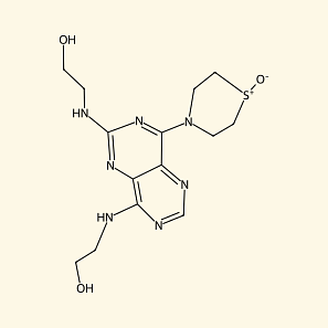 [O-][S+]1CCN(c2nc(NCCO)nc3c(NCCO)ncnc23)CC1